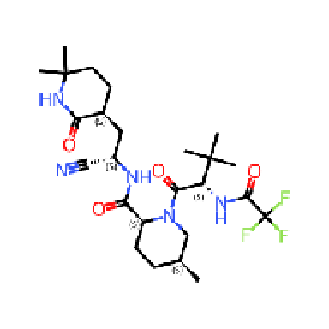 C[C@H]1CC[C@@H](C(=O)N[C@H](C#N)C[C@@H]2CCC(C)(C)NC2=O)N(C(=O)[C@@H](NC(=O)C(F)(F)F)C(C)(C)C)C1